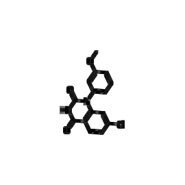 COc1cccc(-n2c(=O)[nH]c(=O)c3ccc(Cl)cc32)c1